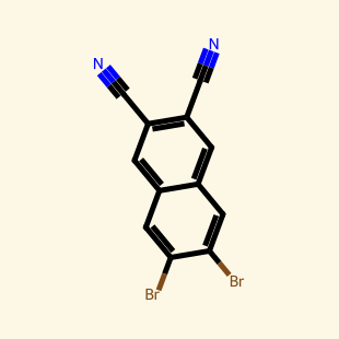 N#Cc1cc2cc(Br)c(Br)cc2cc1C#N